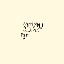 CNC1(c2cccc(OC(F)F)c2)CCCNC1